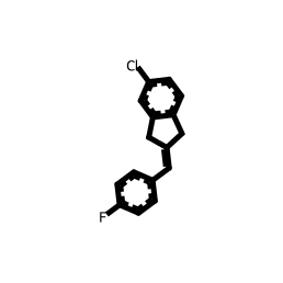 Fc1ccc(C=C2Cc3ccc(Cl)cc3C2)cc1